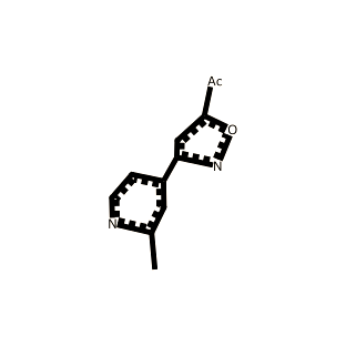 CC(=O)c1cc(-c2ccnc(C)c2)no1